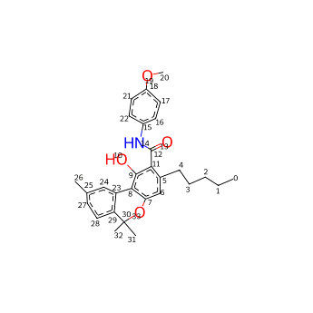 CCCCCc1cc2c(c(O)c1C(=O)Nc1ccc(OC)cc1)-c1cc(C)ccc1C(C)(C)O2